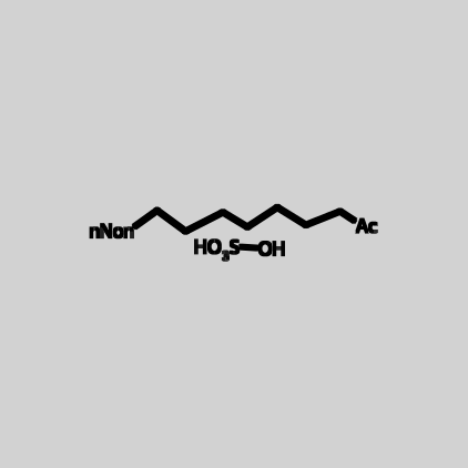 CCCCCCCCCCCCCCCCC(C)=O.O=S(=O)(O)O